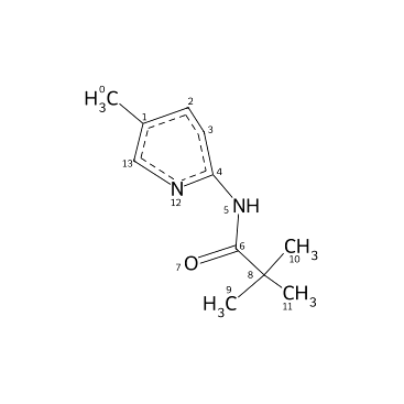 Cc1ccc(NC(=O)C(C)(C)C)nc1